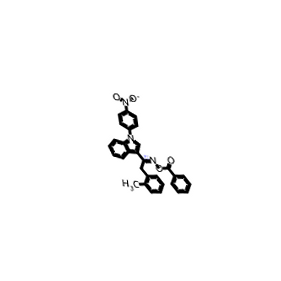 Cc1ccccc1C/C(=N\OC(=O)c1ccccc1)c1cn(-c2ccc([N+](=O)[O-])cc2)c2ccccc12